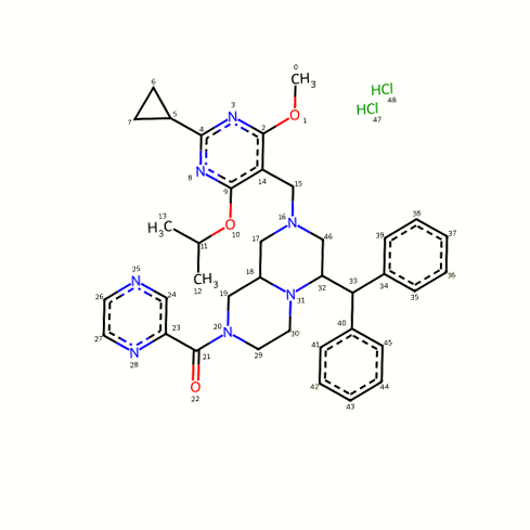 COc1nc(C2CC2)nc(OC(C)C)c1CN1CC2CN(C(=O)c3cnccn3)CCN2C(C(c2ccccc2)c2ccccc2)C1.Cl.Cl